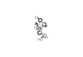 CC(C)C(CO)Nc1cccc(S(=O)(=O)NC(=O)C2(Oc3cc(Cl)ccc3N3CCC(C)(C)CC3)CC2)n1